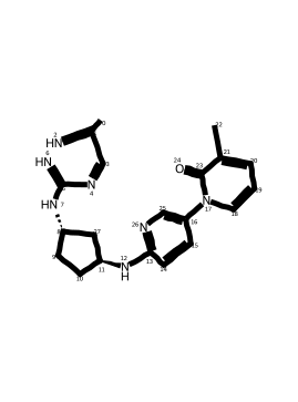 CC(=N)/C=N\C(=N)N[C@H]1CC[C@H](Nc2ccc(-n3cccc(C)c3=O)cn2)C1